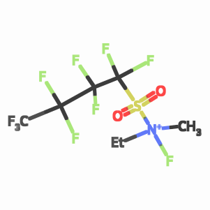 [CH2]C[N+](C)(F)S(=O)(=O)C(F)(F)C(F)(F)C(F)(F)C(F)(F)F